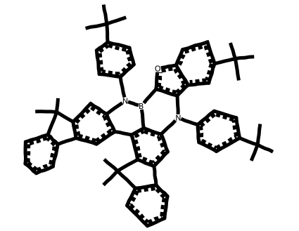 CC(C)(C)c1ccc(N2B3c4oc5ccc(C(C)(C)C)cc5c4N(c4ccc(C(C)(C)C)cc4)c4cc5c(c(c43)-c3cc4c(cc32)C(C)(C)c2ccccc2-4)C(C)(C)c2ccccc2-5)cc1